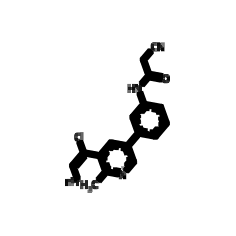 CCC/C=C(/Cl)c1cc(-c2cccc(NC(=O)CC#N)c2)cnc1C